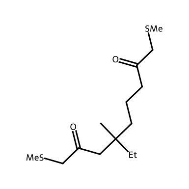 CCC(C)(CCCC(=O)CSC)CC(=O)CSC